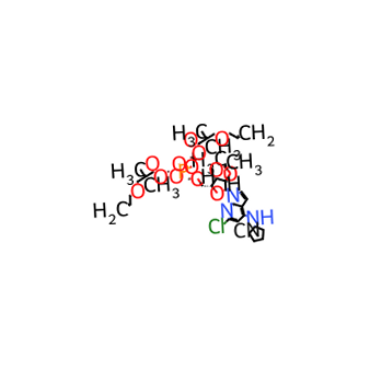 C=CCOCC(C)(C)C(=O)OCOP(=O)(COC[C@H]1O[C@@H](n2ccc3c(NC4CCCC4)c(C#N)c(Cl)nc32)[C@@H]2OC(C)(C)O[C@@H]21)OCOC(=O)C(C)(C)COCC=C